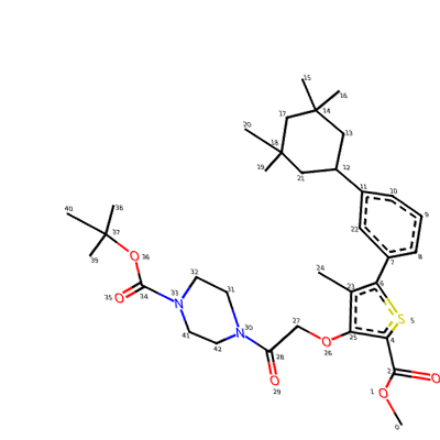 COC(=O)c1sc(-c2cccc(C3CC(C)(C)CC(C)(C)C3)c2)c(C)c1OCC(=O)N1CCN(C(=O)OC(C)(C)C)CC1